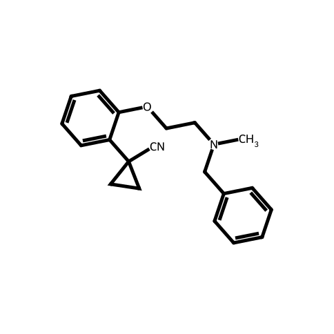 CN(CCOc1ccccc1C1(C#N)CC1)Cc1ccccc1